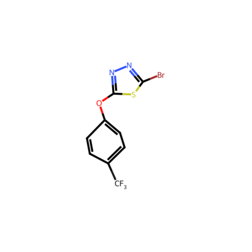 FC(F)(F)c1ccc(Oc2nnc(Br)s2)cc1